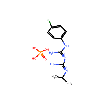 CC(C)/N=C(N)/N=C(\N)Nc1ccc(Cl)cc1.O=P(O)(O)O